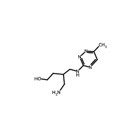 Cc1cnc(NCC(CN)CCO)nn1